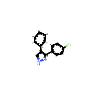 Fc1ccc(-c2n[nH]cc2-c2ccccc2)cc1